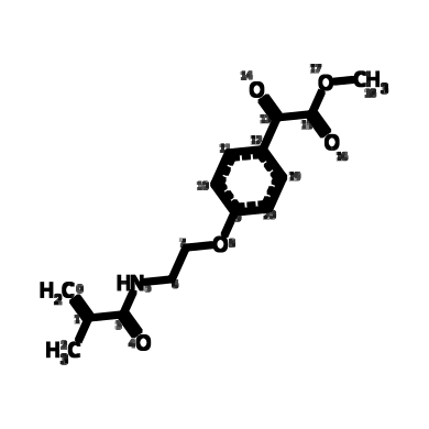 C=C(C)C(=O)NCCOc1ccc(C(=O)C(=O)OC)cc1